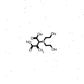 C=C(C(=O)O)C(C(=O)O)N(CCO)CCO